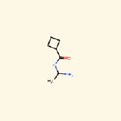 CC(N)[N]C(=O)C1CCC1